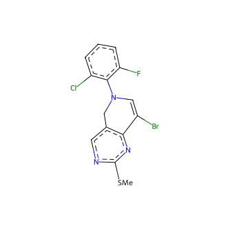 CSc1ncc2c(n1)C(Br)=CN(c1c(F)cccc1Cl)C2